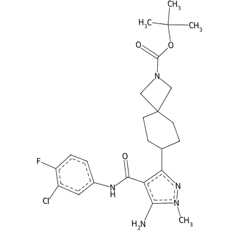 Cn1nc(C2CCC3(CC2)CN(C(=O)OC(C)(C)C)C3)c(C(=O)Nc2ccc(F)c(Cl)c2)c1N